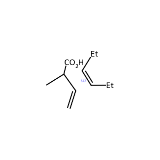 C=CC(C)C(=O)O.CC/C=C\CC